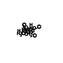 CC(C)(C)[S@@+]([O-])N[C@@H](Cc1ccccn1)[C@H](COCc1ccccc1)NC(=O)OCc1ccccc1